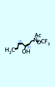 C=C/C=C\C(O)=C/CN(OC(F)(F)F)C(C)=O